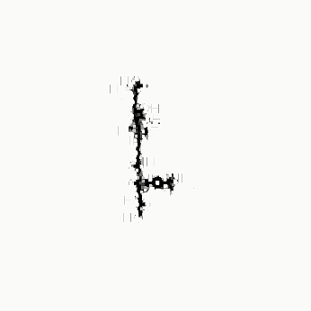 NN=C(c1ccc(C(=O)N[C@H](CCC(=O)NCCCCNC2=NCNC3=C2NCN3C2OC(CSCC[C@H](N)C(=O)O)C(O)C2O)C(=O)NCCNC(=O)CCO)cc1)C(F)(F)F